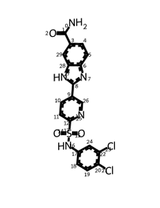 NC(=O)c1ccc2nc(-c3ccc(S(=O)(=O)Nc4ccc(Cl)c(Cl)c4)nc3)[nH]c2c1